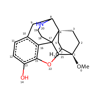 CO[C@]12CC[C@@]3(CC1C)C1Cc4ccc(O)c5c4C3(CCN1)C2O5